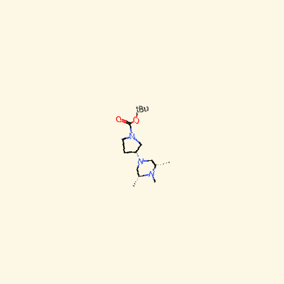 C[C@@H]1CN([C@@H]2CCN(C(=O)OC(C)(C)C)C2)C[C@H](C)N1C